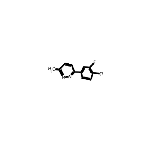 Cc1ccc(-c2ccc(Cl)c(F)c2)nn1